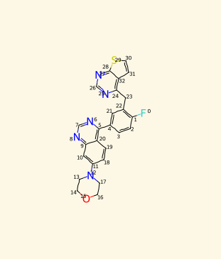 Fc1ccc(-c2ncnc3cc(N4CCOCC4)ccc23)cc1Cc1ncnc2sccc12